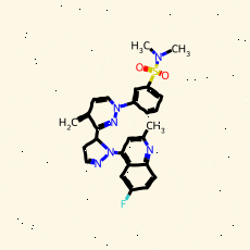 C=C1C=CN(c2cccc(S(=O)(=O)N(C)C)c2)N=C1C1CC=NN1c1cc(C)nc2ccc(F)cc12